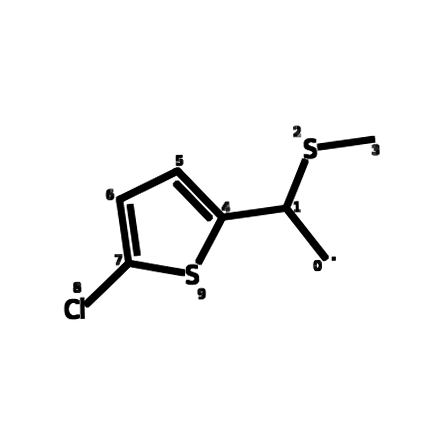 [CH2]C(SC)c1ccc(Cl)s1